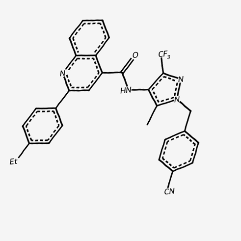 CCc1ccc(-c2cc(C(=O)Nc3c(C(F)(F)F)nn(Cc4ccc(C#N)cc4)c3C)c3ccccc3n2)cc1